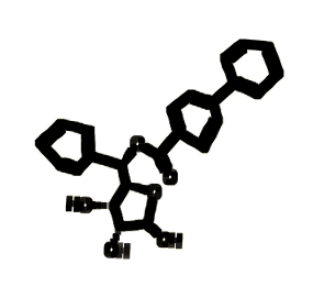 O=C(O[C@H](c1ccccc1)[C@H]1OC(O)[C@H](O)[C@@H]1O)c1ccc(-c2ccccc2)cc1